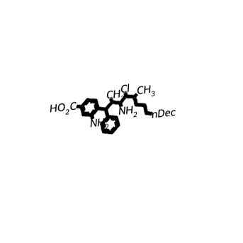 CCCCCCCCCCCCCC(C)C(Cl)C(N)C(C)C(c1ccccc1)c1ccc(C(=O)O)cc1N